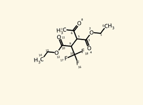 CCOC(=O)C(C(C)=O)C(C(=O)OCC)C(F)(F)F